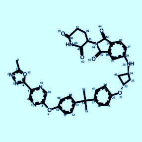 Cc1nnc(-c2cnc(Oc3ccc(C(C)(C)c4ccc(O[C@H]5C[C@H](Nc6ccc7c(c6)C(=O)N(C6CCC(=O)NC6=O)C7=O)C5)cc4)cc3)cn2)o1